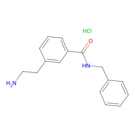 Cl.NCCc1cccc(C(=O)NCc2ccccc2)c1